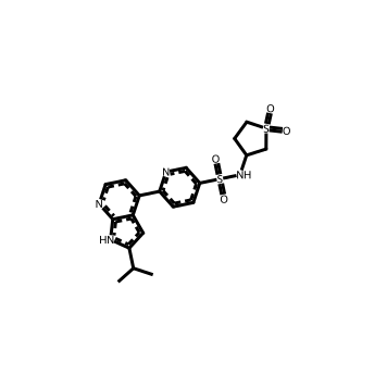 CC(C)c1cc2c(-c3ccc(S(=O)(=O)NC4CCS(=O)(=O)C4)cn3)ccnc2[nH]1